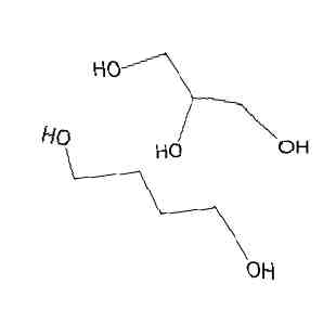 OCC(O)CO.OCCCCO